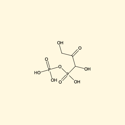 O=C(CO)C(O)P(=O)(O)OP(=O)(O)O